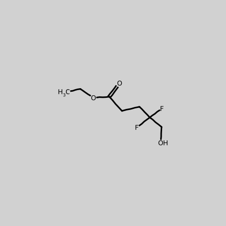 CCOC(=O)CCC(F)(F)CO